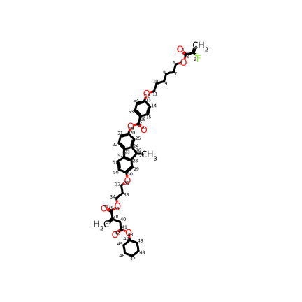 C=C(F)C(=O)OCCCCCCOc1ccc(C(=O)Oc2ccc3c(c2)C(C)c2cc(OCCCOC(=O)C(=C)CC(=O)OC4CCCCC4)ccc2-3)cc1